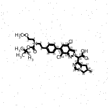 COCCN(CCc1ccc(-c2cc(Cl)c3cn(C(C(=O)O)c4ncn5c4C[C@@H](F)C5)nc3c2Cl)cc1)C(=O)OC(C)(C)C